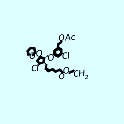 C=CCOC(=O)CCC/C=C\C[C@@H]1[C@@H](COc2cc(Cl)cc(CCOC(C)=O)c2)[C@H](OC2CCCCO2)C[C@H]1Cl